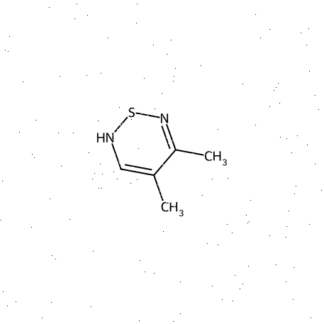 CC1=CNSN=C1C